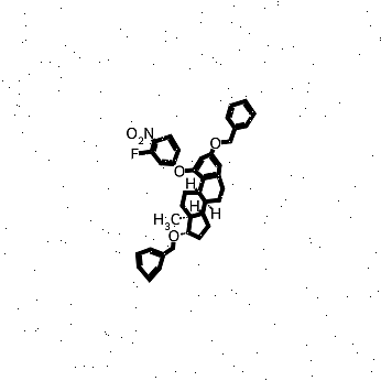 C[C@]12CC[C@@H]3c4c(cc(OCc5ccccc5)cc4Oc4ccc([N+](=O)[O-])c(F)c4)CC[C@H]3[C@@H]1CC[C@@H]2OCc1ccccc1